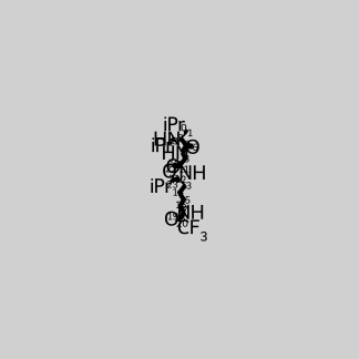 CC(C)C[C@H](NC(C)C)C(=O)NCC(=O)N[C@@H](CCCCNC(=O)C(F)(F)F)C(=O)C(C)C